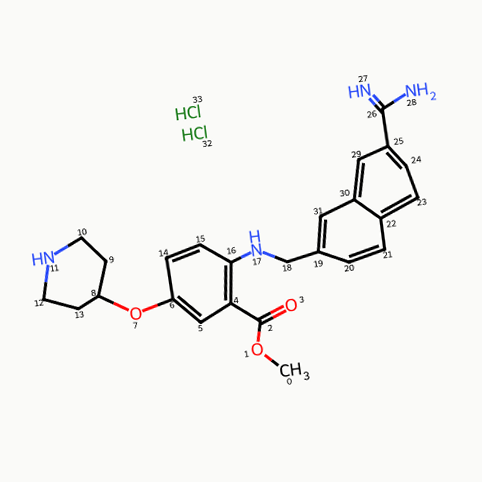 COC(=O)c1cc(OC2CCNCC2)ccc1NCc1ccc2ccc(C(=N)N)cc2c1.Cl.Cl